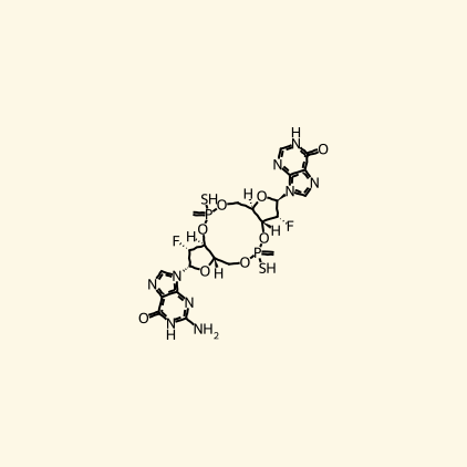 C=P1(S)OC[C@H]2O[C@@H](n3cnc4c(=O)[nH]cnc43)[C@H](F)[C@@H]2OP(=C)(S)OC[C@@H]2O[C@H](n3cnc4c(=O)[nH]c(N)nc43)[C@H](F)[C@H]2O1